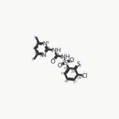 Cc1cc(C)nc(NC(=O)NS(=O)(=O)C2=CC=CC(Cl)C2=S)n1